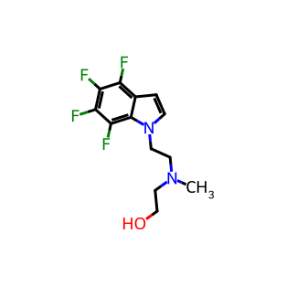 CN(CCO)CCn1ccc2c(F)c(F)c(F)c(F)c21